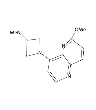 CNC1CN(c2ccnc3ccc(OC)nc23)C1